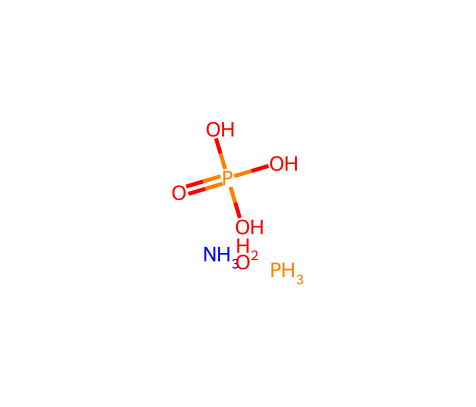 N.O.O=P(O)(O)O.P